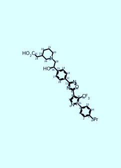 CC(C)c1ccc(-n2ncc(-c3nc(-c4ccc(C(O)CN5CCCC(CC(=O)O)C5)cc4)no3)c2C(F)(F)F)cc1